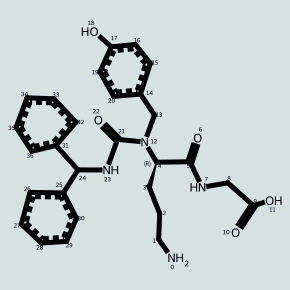 NCCC[C@H](C(=O)NCC(=O)O)N(Cc1ccc(O)cc1)C(=O)NC(c1ccccc1)c1ccccc1